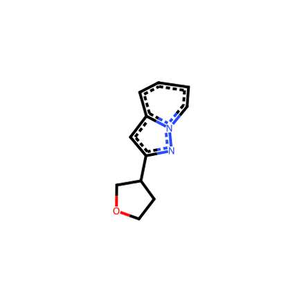 c1ccn2nc(C3CCOC3)cc2c1